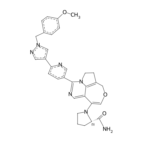 COc1ccc(Cn2cc(-c3ccc(C4=NC=C5C(N6CCC[C@H]6C(N)=O)=COCC6=C5N4CC6)cn3)cn2)cc1